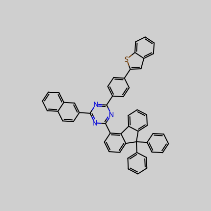 c1ccc(C2(c3ccccc3)c3ccccc3-c3c(-c4nc(-c5ccc(-c6cc7ccccc7s6)cc5)nc(-c5ccc6ccccc6c5)n4)cccc32)cc1